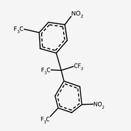 O=[N+]([O-])c1cc(C(F)(F)F)cc(C(c2cc([N+](=O)[O-])cc(C(F)(F)F)c2)(C(F)(F)F)C(F)(F)F)c1